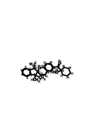 CN1c2ccccc2C(C)(C)C12C=Cc1cc(C(=O)C3(O)CCCCC3)ccc1O2